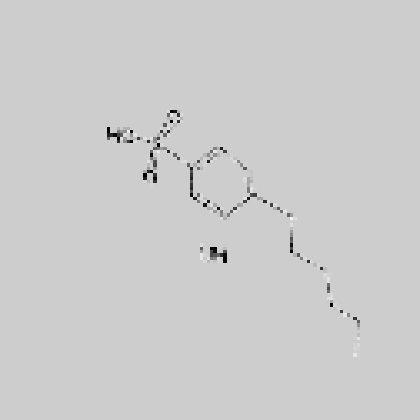 CCCCCCc1ccc(S(=O)(=O)O)cc1.[LiH]